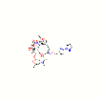 CC[C@H]1OC(=O)[C@H](C)C(=O)[C@H](C)[C@@H](O[C@@H]2O[C@H](C)C[C@H](N(C)CC)[C@H]2O)[C@@]2(C)C[C@@H](C)/C(=N\C(C)=O)[C@H](C)[C@@H](CC/C(=N\OCc3ccc(-n4cccn4)nc3)CO2)[C@]1(C)O